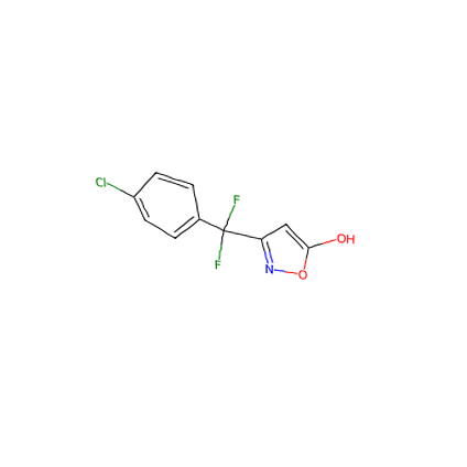 Oc1cc(C(F)(F)c2ccc(Cl)cc2)no1